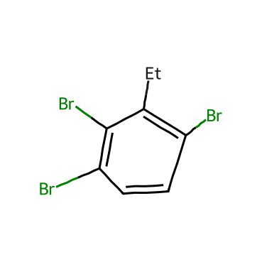 CCc1c(Br)ccc(Br)c1Br